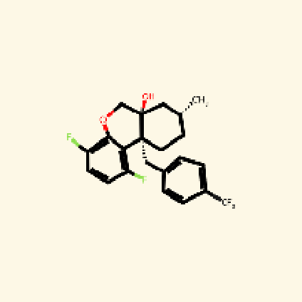 C[C@@H]1CC[C@@]2(Cc3ccc(C(F)(F)F)cc3)c3c(F)ccc(F)c3OC[C@]2(O)C1